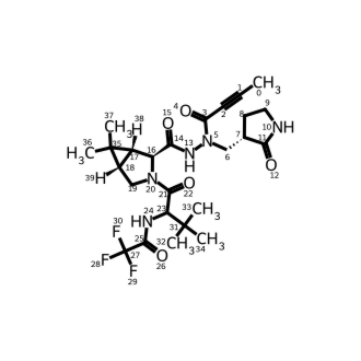 CC#CC(=O)N(C[C@@H]1CCNC1=O)NC(=O)[C@@H]1[C@@H]2[C@H](CN1C(=O)C(NC(=O)C(F)(F)F)C(C)(C)C)C2(C)C